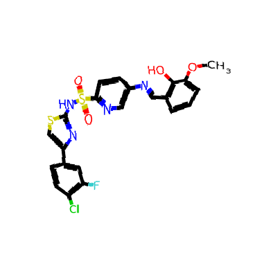 COc1cccc(/C=N/c2ccc(S(=O)(=O)Nc3nc(-c4ccc(Cl)c(F)c4)cs3)nc2)c1O